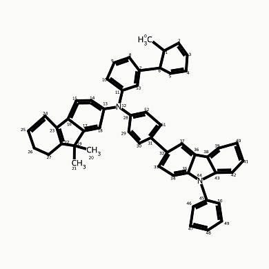 CC1C=CC=CC1c1cccc(N(C2=C=C=C3C(=C2)C(C)(C)C2=C3C=CCC2)c2ccc(-c3ccc4c(c3)c3ccccc3n4-c3ccccc3)cc2)c1